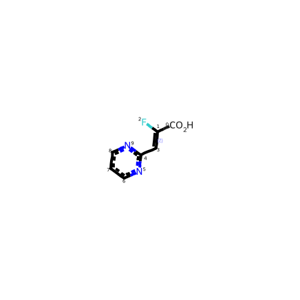 O=C(O)/C(F)=C/c1ncccn1